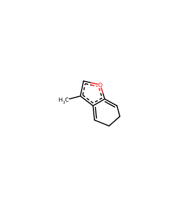 Cc1coc2c1=CCCC=2